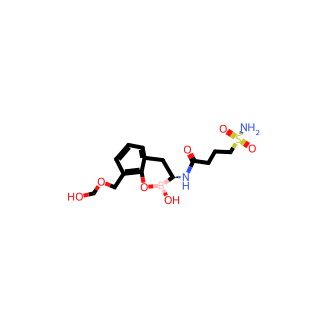 NS(=O)(=O)CCCC(=O)N[C@H]1Cc2cccc(COCO)c2OB1O